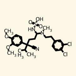 COc1ccc(C(C#N)(CCC(NS(=O)(=O)O)N(C)CCc2ccc(Cl)c(Cl)c2)C(C)C)cc1OC